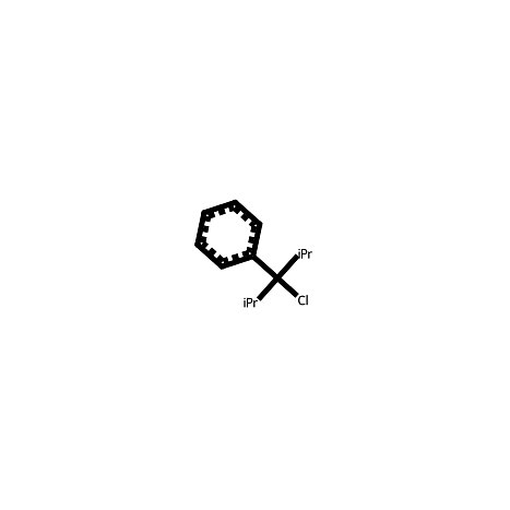 CC(C)C(Cl)(c1ccccc1)C(C)C